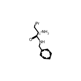 CC(C)C[C@H](N)C(=O)NCc1ccccc1